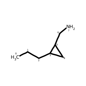 CCCC1CC1CN